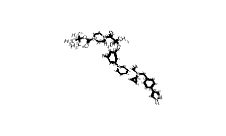 CC(C)(C)OC(=O)N1CCN(C(=O)C(C)(C)Oc2cc(F)cc(N3CCC[C@@H](C(=O)N(Cc4ccc(-c5cn[nH]c5)cc4)C4CC4)C3)c2)CC1